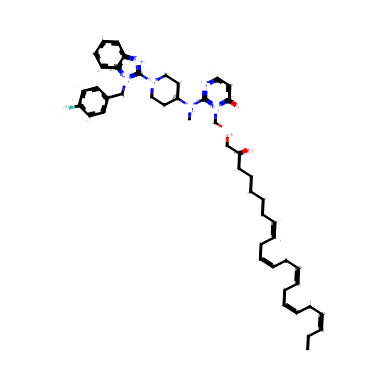 CC/C=C\C/C=C\C/C=C\C/C=C\C/C=C\CCCCCC(=O)COCn1c(N(C)C2CCN(c3nc4ccccc4n3Cc3ccc(F)cc3)CC2)nccc1=O